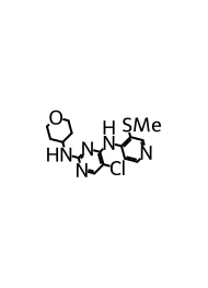 CSc1cnccc1Nc1nc(NC2CCOCC2)ncc1Cl